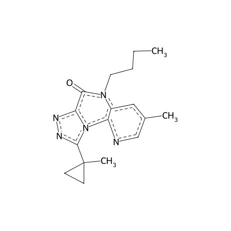 CCCCn1c(=O)c2nnc(C3(C)CC3)n2c2ncc(C)cc21